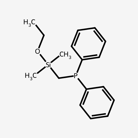 CCO[Si](C)(C)CP(c1ccccc1)c1ccccc1